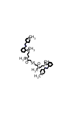 CN1C=CC(/C=C/c2ccccc2N(C)CCCN(C)C(=O)CSSCC(=O)N(C)CCCN(C)c2ccccc2/C=C/c2cc[n+](C)cc2)=CC1